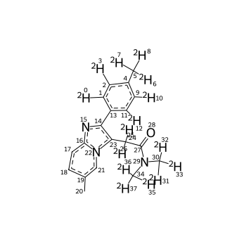 [2H]c1c([2H])c(C([2H])([2H])[2H])c([2H])c([2H])c1-c1nc2ccc(C)cn2c1C([2H])([2H])C(=O)N(C([2H])([2H])[2H])C([2H])([2H])[2H]